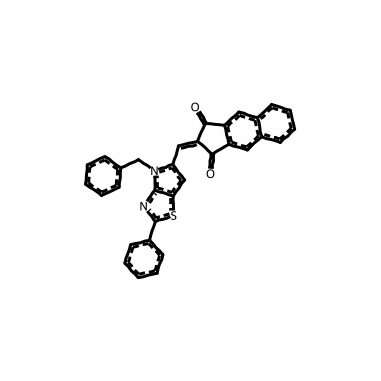 O=C1C(=Cc2cc3sc(-c4ccccc4)nc3n2Cc2ccccc2)C(=O)c2cc3ccccc3cc21